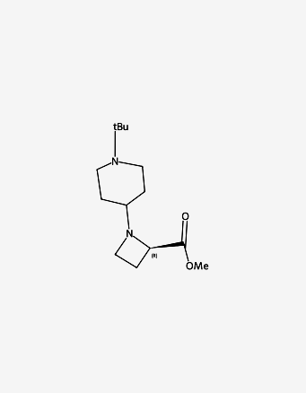 COC(=O)[C@H]1CCN1C1CCN(C(C)(C)C)CC1